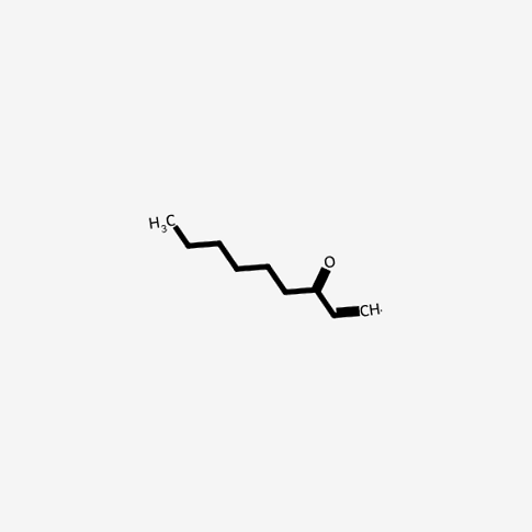 [CH]=CC(=O)CCCCCC